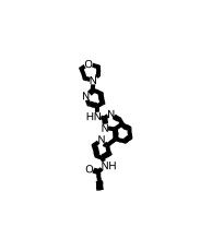 C#CC(=O)Nc1ccnc(-c2cccc3cnc(Nc4ccc(N5CCOCC5)nc4)nc23)c1